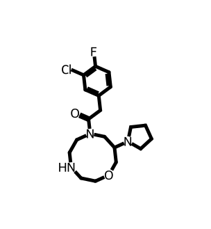 O=C(Cc1ccc(F)c(Cl)c1)N1CCNCCOCC(N2CCCC2)C1